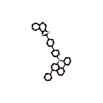 c1ccc(-c2ccc(N(c3ccc(-c4ccc(-c5nc6c(ccc7ccccc76)o5)cc4)cc3)c3ccccc3-c3ccccc3)cc2)cc1